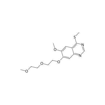 COCCOCCOc1cc2ncnc(SC)c2cc1OC